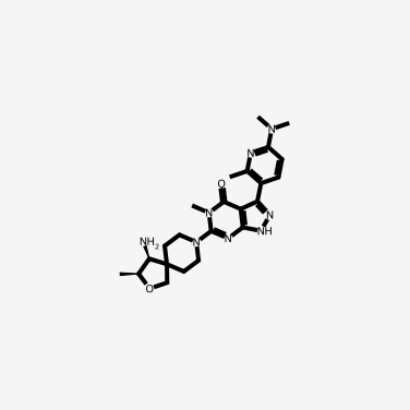 Cc1nc(N(C)C)ccc1-c1n[nH]c2nc(N3CCC4(CC3)CO[C@@H](C)[C@H]4N)n(C)c(=O)c12